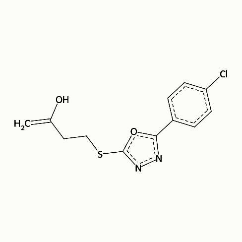 C=C(O)CCSc1nnc(-c2ccc(Cl)cc2)o1